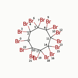 Br[C]1C(Br)(Br)C(Br)(Br)C(Br)(Br)C(Br)(Br)C(Br)(Br)C(Br)(Br)C1(Br)Br